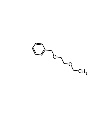 CCOCCOCc1ccccc1